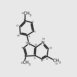 Cc1ccc(-n2cc(C)c3cc(C)cnc32)cc1